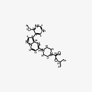 COc1ncncc1-c1cnn2ccc(N3CCN(C(=O)OC(C)C)CC3)nc12